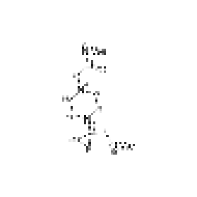 CNC(=O)CN1CCN(C2(COC)CC2)CC1